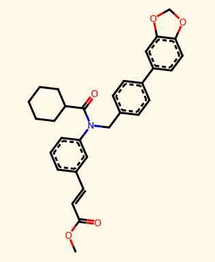 COC(=O)/C=C/c1cccc(N(Cc2ccc(-c3ccc4c(c3)OCO4)cc2)C(=O)C2CCCCC2)c1